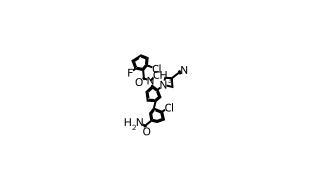 CN(C(=O)c1c(F)cccc1Cl)c1ccc(-c2cc(C(N)=O)ccc2Cl)cc1N1CC(C#N)C1